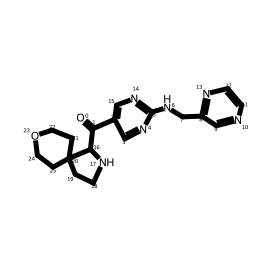 O=C(c1cnc(NCc2cnccn2)nc1)C1NCCC12CCOCC2